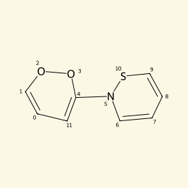 C1=COOC(N2C=CC=CS2)=C1